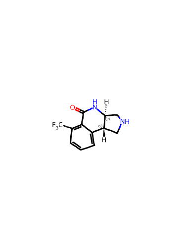 O=C1N[C@H]2CNC[C@@H]2c2cccc(C(F)(F)F)c21